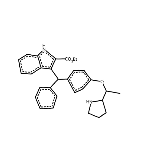 CCOC(=O)c1[nH]c2ccccc2c1C(c1ccccc1)c1ccc(OC(C)C2CCCN2)cc1